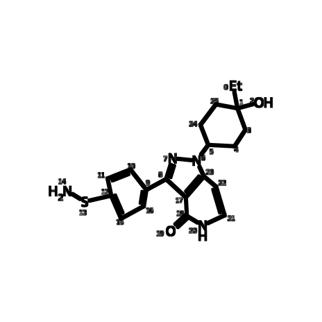 CCC1(O)CCC(n2nc(-c3ccc(SN)cc3)c3c(=O)[nH]ccc32)CC1